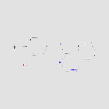 N#Cc1ccc(Nc2ncnc3ccccc23)cc1O